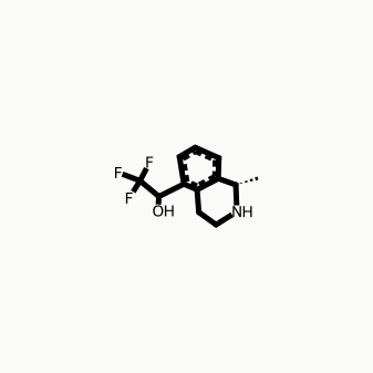 C[C@@H]1NCCc2c(C(O)C(F)(F)F)cccc21